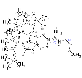 C=C/C=C\N=C(/N)N1CCC(Sc2cc(C(C)(C)C)c(O)c(C(C)(C)C)c2)(Sc2cc(C(C)(C)C)c(OC)c(C(C)(C)C)c2)CC1